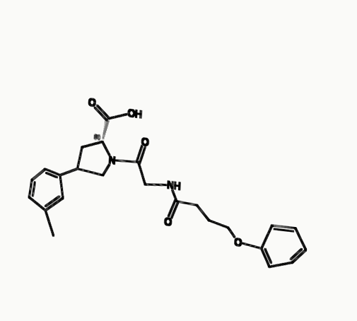 Cc1cccc(C2C[C@H](C(=O)O)N(C(=O)CNC(=O)CCCOc3ccccc3)C2)c1